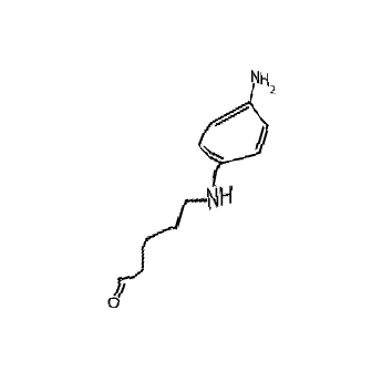 Nc1ccc(NCCCCC=O)cc1